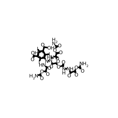 NC(=O)OC(=O)C(=O)NNC(=O)OC(=O)C(=O)N(NC(=O)C(=O)OC(N)=O)N(NC(=O)C(=O)OC(N)=O)c1c(I)c(C(=O)O)c(I)c(C(=O)O)c1I